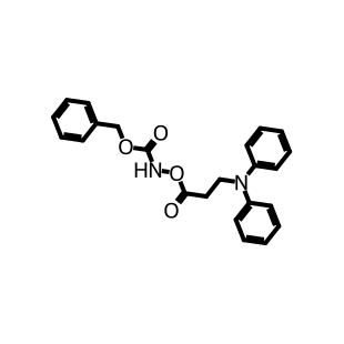 O=C(CCN(c1ccccc1)c1ccccc1)ONC(=O)OCc1ccccc1